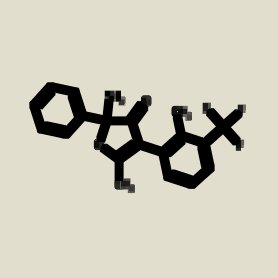 CC1=C(c2cccc(C(F)(F)F)c2C)C(=O)C(N)(c2ccccc2)O1